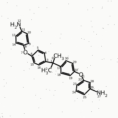 CC(C)(c1ccc(Oc2ccc(N)cc2)cc1)c1ccc(Oc2cccc(N)c2)cc1